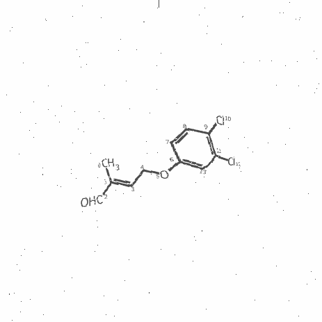 CC(C=O)=CCOc1ccc(Cl)c(Cl)c1